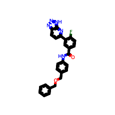 O=C(Nc1ccc(COCc2ccccc2)cc1)c1ccc(F)c(-c2ccc3nn[nH]c3n2)c1